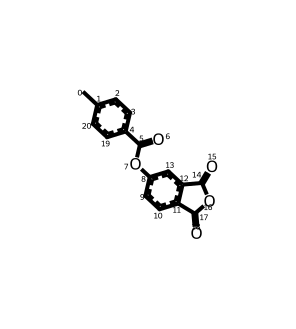 Cc1ccc(C(=O)Oc2ccc3c(c2)C(=O)OC3=O)cc1